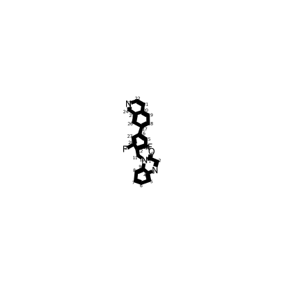 O=c1cnc2ccccc2n1Cc1c(F)cc(-c2ccc3ccncc3c2)cc1F